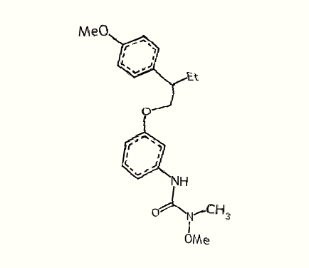 CCC(COc1cccc(NC(=O)N(C)OC)c1)c1ccc(OC)cc1